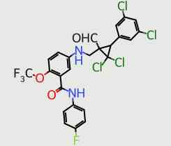 O=CC1(CNc2ccc(OC(F)(F)F)c(C(=O)Nc3ccc(F)cc3)c2)C(c2cc(Cl)cc(Cl)c2)C1(Cl)Cl